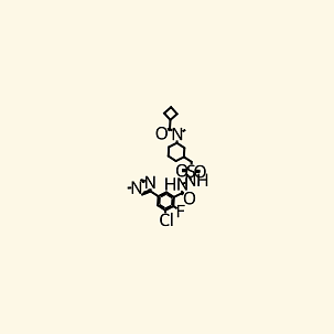 CN(C(=O)C1CCC1)C1CCCC(CS(=O)(=O)NNC(=O)c2cc(-c3cn(C)cn3)cc(Cl)c2F)C1